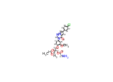 CCC(=O)OC(C)(COC(=O)CN)COc1ccc(-n2cnn3cc(-c4ccc(Cl)cc4)cc3c2=O)cc1OC